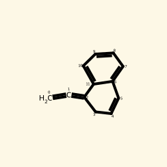 C=C=C1CC=Cc2ccccc21